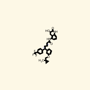 CC1(COc2cccc(/C(=C\C=C\C(=O)Nc3cccc4c3CC(O)C(=O)N4)c3ccc(C(F)(F)F)cc3)c2)CC1